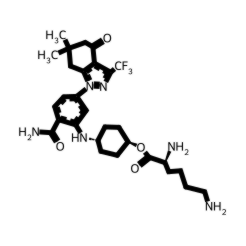 CC1(C)CC(=O)c2c(C(F)(F)F)nn(-c3ccc(C(N)=O)c(N[C@H]4CC[C@H](OC(=O)[C@@H](N)CCCCN)CC4)c3)c2C1